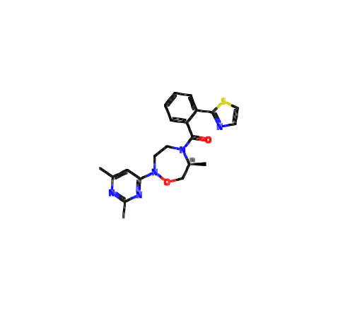 Cc1cc(N2CCN(C(=O)c3ccccc3-c3nccs3)[C@@H](C)CO2)nc(C)n1